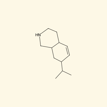 CC(C)C1C=CC2CCNCC2C1